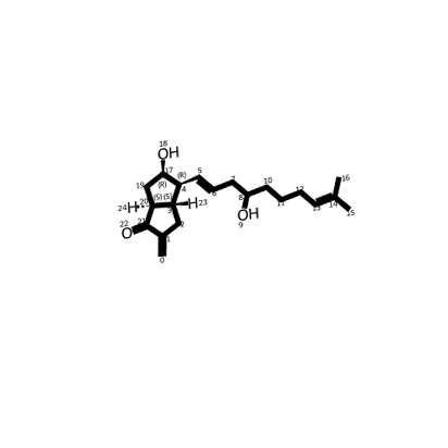 C=C1C[C@H]2[C@H](C=CCC(O)CCCC=C(C)C)[C@H](O)C[C@@H]2C1=O